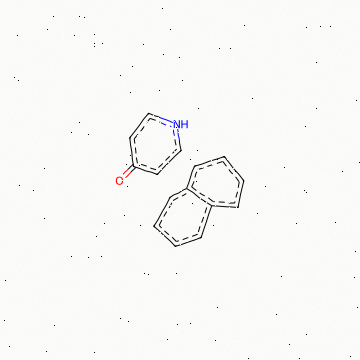 O=c1cc[nH]cc1.c1ccc2ccccc2c1